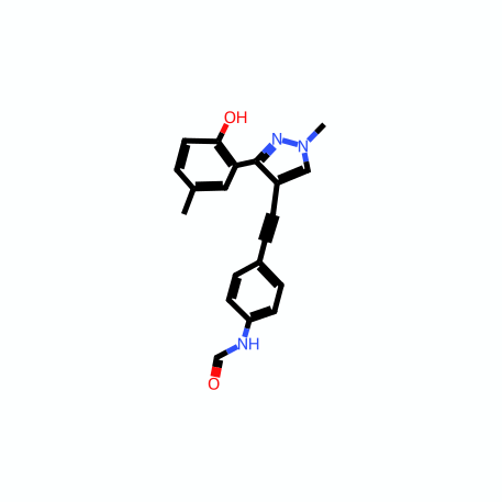 Cc1ccc(O)c(-c2nn(C)cc2C#Cc2ccc(NC=O)cc2)c1